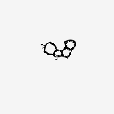 C[C@@H]1C=Cc2sc3ccc4ccccc4c3c2C=C1